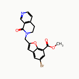 COC(=O)c1cc(Br)cc2cc(CN3CCc4ccncc4C3=O)oc12